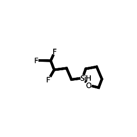 FC(F)C(F)CC[SiH]1CCCCO1